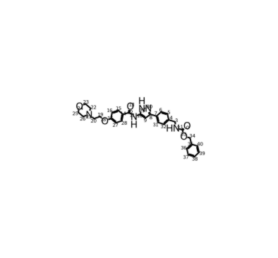 O=C(NCc1ccc(-c2cc(NC(=O)c3ccc(OCCN4CCOCC4)cc3)[nH]n2)cc1)OCc1ccccc1